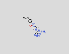 COc1ccc(NC(=O)N2CCN(c3nc(N)nc4[nH]ncc34)[C@@H](C)C2)cc1